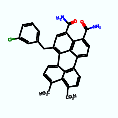 NC(=O)c1ccc2c3ccc(C(=O)O)c4c(C(=O)O)ccc(c5c(Cc6cccc(Cl)c6)cc(C(N)=O)c1c25)c43